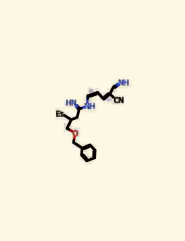 CCC(COCc1ccccc1)CC(=N)N/C=C\C=C(\C#N)C=N